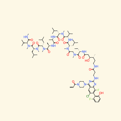 C=CC(=O)N1CCN(c2nc(NCCC(=O)NCC[C@@H](C)[C@@H](O)CC(=O)N[C@@H](CC)C(=O)N(C)CC(=O)N(C)[C@@H](CC(C)C)C(=O)N[C@H](C(=O)N(C)[C@@H](CC(C)C)C(=O)NC(C)C(=O)N[C@H](C)C(=O)N(C)[C@@H](CC(C)C)C(=O)N(C)[C@@H](CC(C)C)C(=O)N(C)[C@H](C(=O)NC)C(C)C)C(C)C)nc3c(F)c(-c4c(O)cccc4F)c(Cl)cc23)CC1